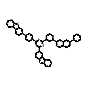 c1ccc(-c2ccc3ccc(-c4cccc(-c5nc(-c6ccc(-c7ccc8c(c7)oc7ccccc78)cc6)nc(-c6ccc7sc8ccccc8c7c6)n5)c4)cc3c2)cc1